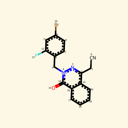 N#CCc1nn(Cc2ccc(Br)cc2F)c(=O)c2ccccc12